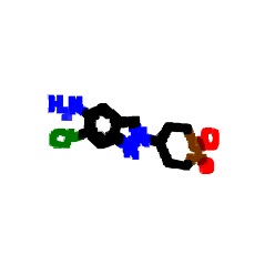 Nc1cc2cn(C3CCS(=O)(=O)CC3)nc2cc1Cl